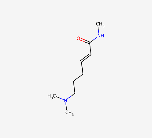 CNC(=O)C=CCCCN(C)C